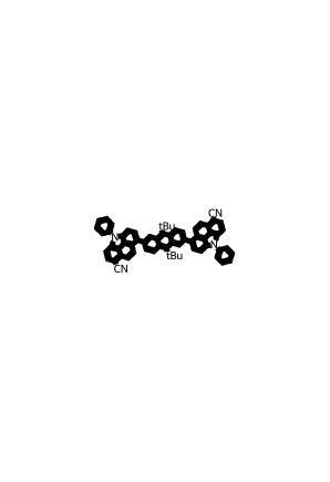 CC(C)(C)c1c2ccc(-c3ccc4c5c3ccc3c(C#N)ccc(c35)n4-c3ccccc3)cc2c(C(C)(C)C)c2ccc(-c3ccc4c5c3ccc3c(C#N)ccc(c35)n4-c3ccccc3)cc12